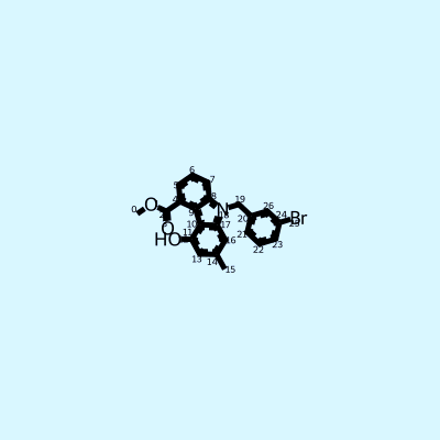 COC(=O)c1cccc2c1c1c(O)cc(C)cc1n2Cc1cccc(Br)c1